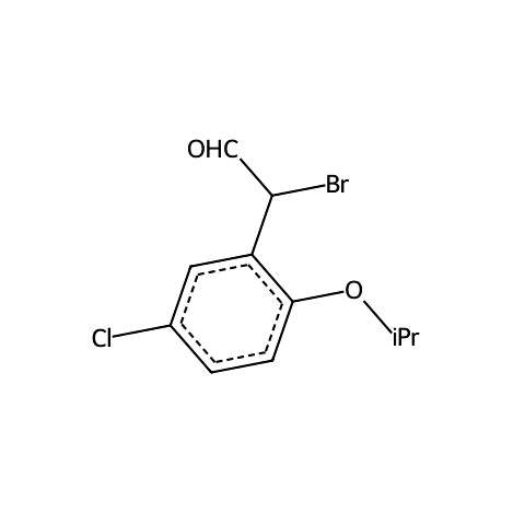 CC(C)Oc1ccc(Cl)cc1C(Br)C=O